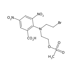 CS(=O)(=O)OCCN(CCBr)c1c(C(=O)O)cc([N+](=O)[O-])cc1[N+](=O)[O-]